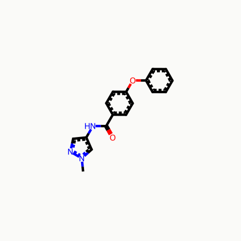 Cn1cc(NC(=O)c2ccc(Oc3ccccc3)cc2)cn1